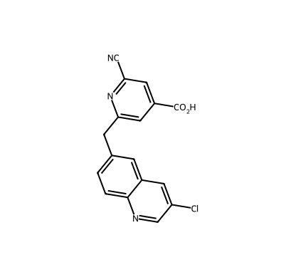 N#Cc1cc(C(=O)O)cc(Cc2ccc3ncc(Cl)cc3c2)n1